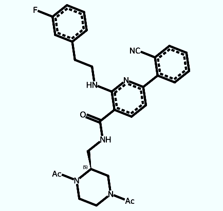 CC(=O)N1CCN(C(C)=O)[C@@H](CNC(=O)c2ccc(-c3ccccc3C#N)nc2NCCc2cccc(F)c2)C1